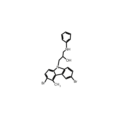 Cc1c(Br)ccc2c1c1cc(Br)ccc1n2CC(O)CNc1ccccc1